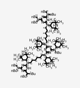 CCCCC(CCCC)C1=NC(N(CCCC)CCCC)=NC(N(CCCCCCN(c2nc(N(CCCC)C3CC(C)(C)NC(C)(C)C3)nc(N(CCCCCCN(c3nc(N(CCCC)CCCC)nc(N(CCCC)CCCC)n3)C3CC(C)(C)NC(C)(C)C3)C3CC(C)(C)NC(C)(C)C3)n2)C2CC(C)(C)NC(C)(C)C2)C2CC(C)(C)NC(C)(C)C2)N1